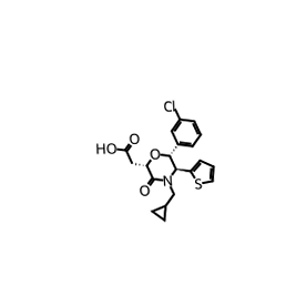 O=C(O)C[C@@H]1O[C@H](c2cccc(Cl)c2)[C@@H](c2cccs2)N(CC2CC2)C1=O